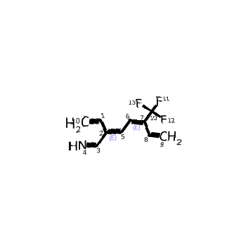 C=C/C(C=N)=C\C=C(/C=C)C(F)(F)F